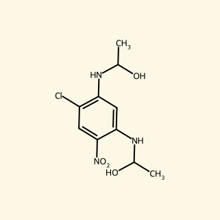 CC(O)Nc1cc(NC(C)O)c([N+](=O)[O-])cc1Cl